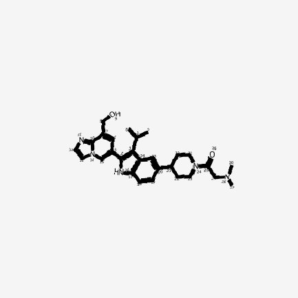 CC(C)c1c(-c2cc(CO)c3nccn3c2)[nH]c2ccc(C3CCN(C(=O)CN(C)C)CC3)cc12